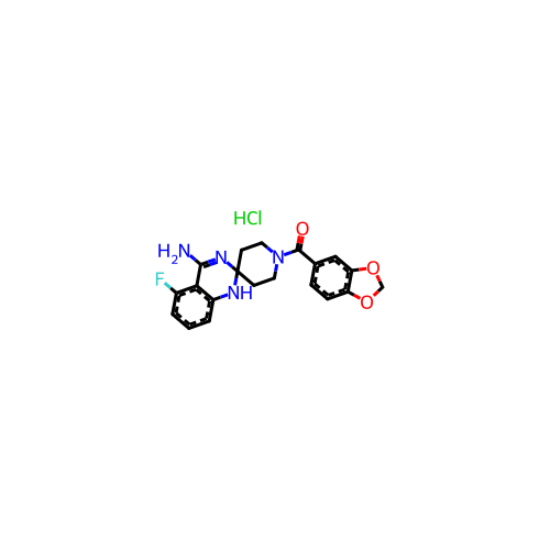 Cl.NC1=NC2(CCN(C(=O)c3ccc4c(c3)OCO4)CC2)Nc2cccc(F)c21